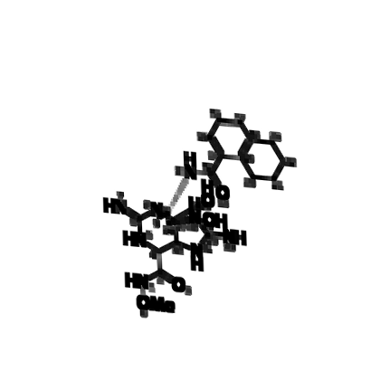 CONC(=O)C1NC(=N)N2C[C@H](NC(=O)c3cccc4c3CCCC4)C(O)(O)C23NC(=N)NC13